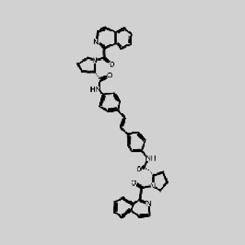 O=C(Nc1ccc(/C=C/c2ccc(NC(=O)[C@@H]3CCCN3C(=O)c3nccc4ccccc34)cc2)cc1)[C@@H]1CCCN1C(=O)c1nccc2ccccc12